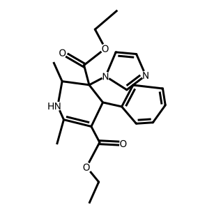 CCOC(=O)C1=C(C)NC(C)C(C(=O)OCC)(n2ccnc2)C1c1ccccc1